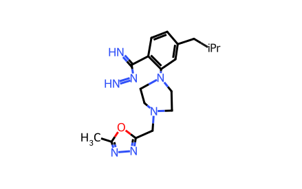 Cc1nnc(CN2CCN(c3cc(CC(C)C)ccc3C(=N)N=N)CC2)o1